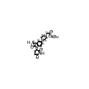 Cn1c(=O)n(C2CCC(=O)NC2=O)c2ccc(N3CCN(CC(=O)OC(C)(C)C)CC3)cc21